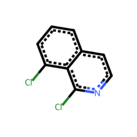 Clc1cccc2ccnc(Cl)c12